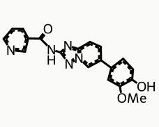 COc1cc(-c2ccc3nc(NC(=O)c4cccnc4)nn3c2)ccc1O